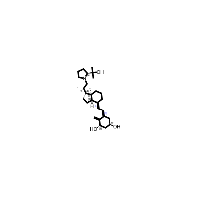 C=C1/C(=C\C=C2/CCC[C@]3(C)[C@@H]([C@H](C)CN4CCC[C@H]4C(C)(C)O)CC[C@@H]23)C[C@@H](O)C[C@@H]1O